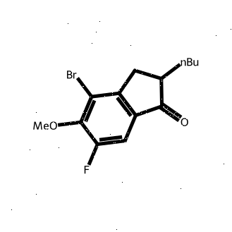 CCCCC1Cc2c(cc(F)c(OC)c2Br)C1=O